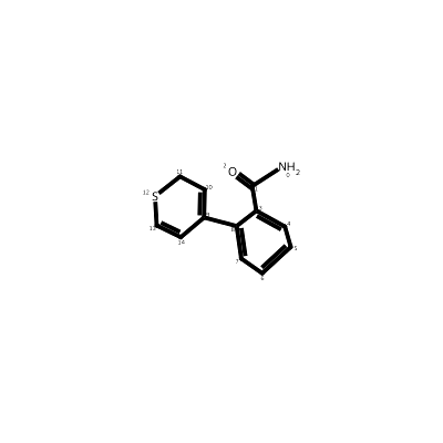 NC(=O)c1ccccc1C1=CCSC=C1